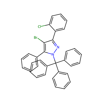 Clc1ccccc1-c1nn(C(c2ccccc2)(c2ccccc2)c2ccccc2)c(-c2ccccc2)c1Br